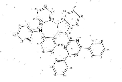 c1ccc(-c2nc(-c3ccccc3)nc(N3c4ccncc4C4c5ccccc5N(c5ccccc5)c5ccccc5C43)n2)cc1